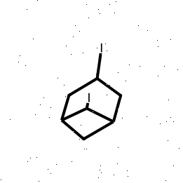 IC1CC2CC(C1)C2I